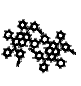 N#Cc1ccc(N(c2ccccc2)c2cc(C3CCCCC3)c3ccc4c(N(c5ccccc5)c5ccc(C#N)cc5)cc(C5CCCC(C6CCCC(c7cc(N(c8ccccc8)c8cccc(C#N)c8)c8ccc9c(C%10CCCCC%10)cc(N(c%10ccccc%10)c%10cccc(C#N)c%10)c%10ccc7c8c9%10)C6)C5)c5ccc2c3c54)cc1